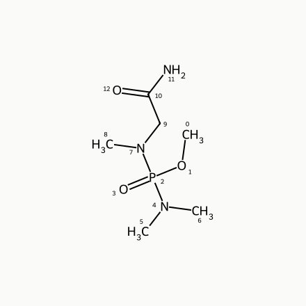 COP(=O)(N(C)C)N(C)CC(N)=O